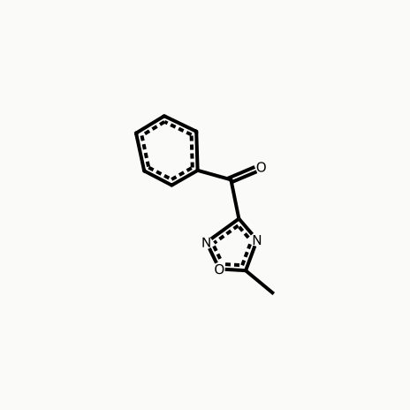 Cc1nc(C(=O)c2ccccc2)no1